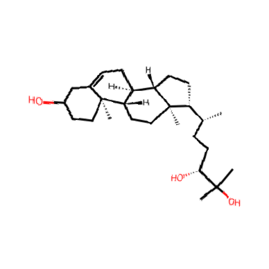 C[C@H](CC[C@@H](O)C(C)(C)O)[C@H]1CC[C@H]2[C@@H]3CC=C4CC(O)CC[C@]4(C)[C@H]3CC[C@]12C